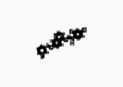 CN1CCC[C@H](COc2ccc3c(OCNc4ccc(Cl)cc4F)ncnc3c2)C1